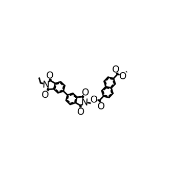 CCN1C(=O)c2ccc(-c3ccc4c(c3)C(=O)N(COC(=O)c3ccc5cc(C(=O)OC)ccc5c3)C4=O)cc2C1=O